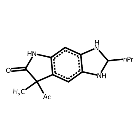 CCCC1Nc2cc3c(cc2N1)C(C)(C(C)=O)C(=O)N3